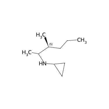 CCC[C@H](C)C(C)NC1CC1